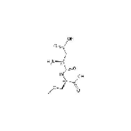 COC[C@@H](NC(=O)[C@@H](N)CC(=O)O)C(=O)O